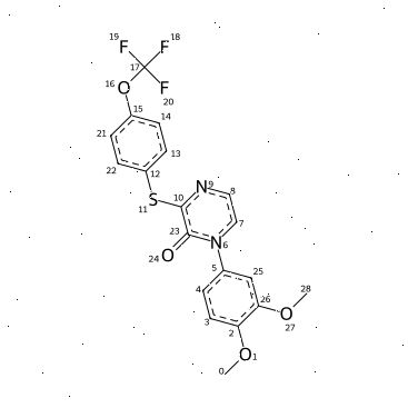 COc1ccc(-n2ccnc(Sc3ccc(OC(F)(F)F)cc3)c2=O)cc1OC